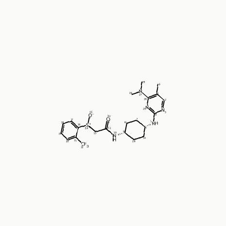 Cc1cnc(N[C@H]2CC[C@@H](NC(=O)C[S+]([O-])c3ccccc3C(F)(F)F)CC2)nc1N(C)C